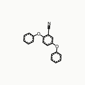 N#Cc1cc(Oc2ccccc2)ccc1Oc1ccccc1